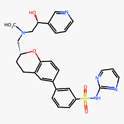 O=C(O)N(C[C@H]1CCc2cc(-c3cccc(S(=O)(=O)Nc4ncccn4)c3)ccc2O1)C[C@@H](O)c1cccnc1